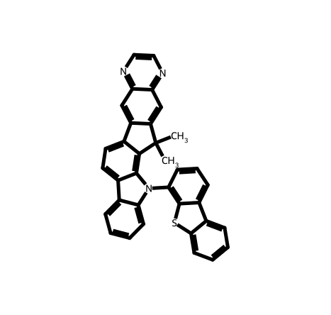 CC1(C)c2cc3nccnc3cc2-c2ccc3c4ccccc4n(-c4cccc5c4sc4ccccc45)c3c21